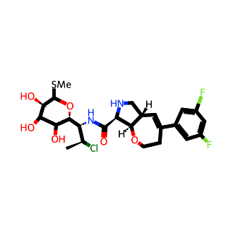 CSC1O[C@H]([C@H](NC(=O)[C@H]2NC[C@@H]3C=C(c4cc(F)cc(F)c4)CCO[C@@H]23)[C@H](C)Cl)C(O)C(O)[C@H]1O